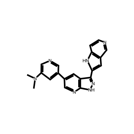 CN(C)c1cncc(-c2cnc3[nH]nc(-c4cc5cnccc5[nH]4)c3c2)c1